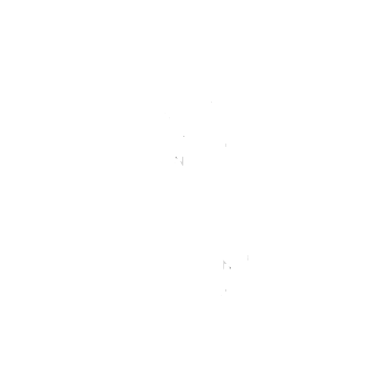 O=C(NC([CH]c1ccc([N+](=O)[O-])cc1)CI)C(Cl)Cl